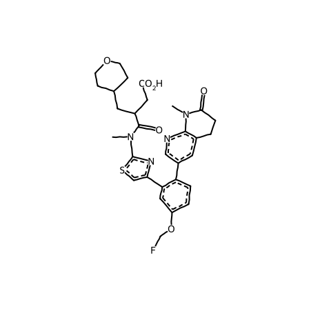 CN(C(=O)C(CC(=O)O)CC1CCOCC1)c1nc(-c2cc(OCF)ccc2-c2cnc3c(c2)CCC(=O)N3C)cs1